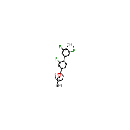 CCCC12CCC(c3ccc(-c4cc(F)c(C)c(F)c4)c(F)c3)(OC1)OC2